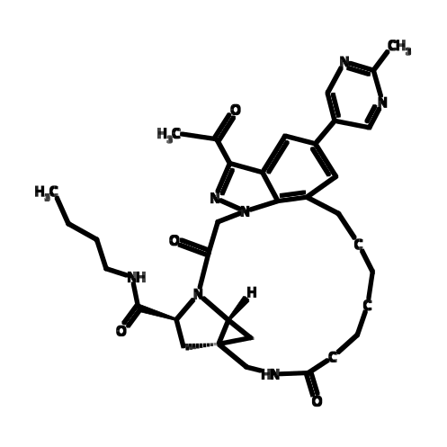 CCCCNC(=O)[C@@H]1C[C@]23CNC(=O)CCCCCCc4cc(-c5cnc(C)nc5)cc5c(C(C)=O)nn(c45)CC(=O)N1[C@@H]2C3